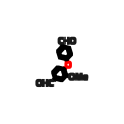 COc1cc(C=O)ccc1Oc1ccc(C=O)cc1